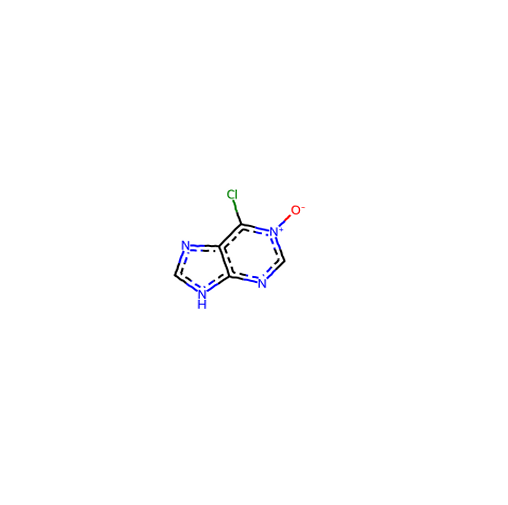 [O-][n+]1cnc2[nH]cnc2c1Cl